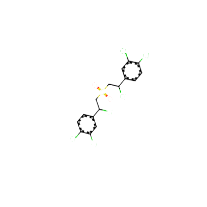 O=S(=O)(CC(Cl)c1ccc(Cl)c(Cl)c1)CC(Cl)c1ccc(Cl)c(Cl)c1